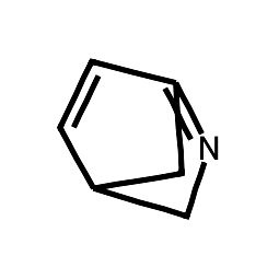 C1=CC2CN=C1C2